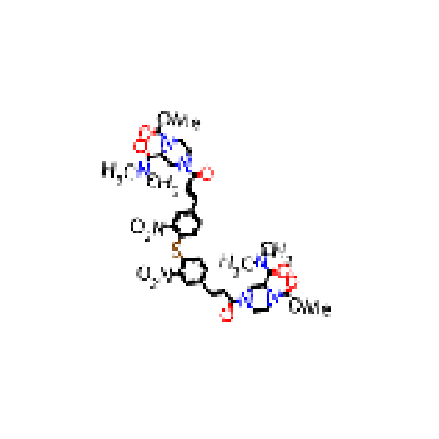 COC(=O)N1CCN(C(=O)/C=C/c2ccc(Sc3ccc(/C=C/C(=O)N4CCN(C(=O)OC)C(C(=O)N(C)C)C4)cc3[N+](=O)[O-])c([N+](=O)[O-])c2)CC1C(=O)N(C)C